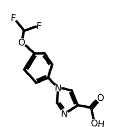 O=C(O)c1cn(-c2ccc(OC(F)F)cc2)cn1